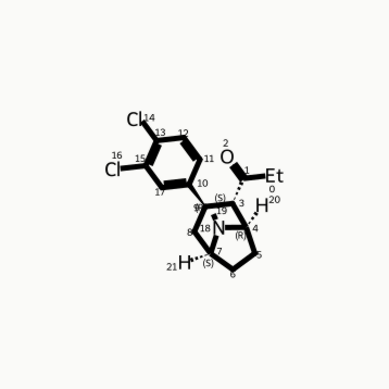 CCC(=O)[C@@H]1[C@H]2CC[C@@H](C[C@H]1c1ccc(Cl)c(Cl)c1)N2C